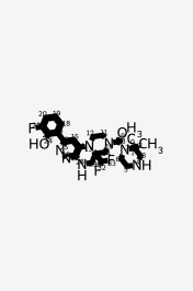 CC1(C)CNCCN1C(=O)N1CCN2c3cc(-c4cccc(F)c4O)nnc3NCC2(C(F)F)C1